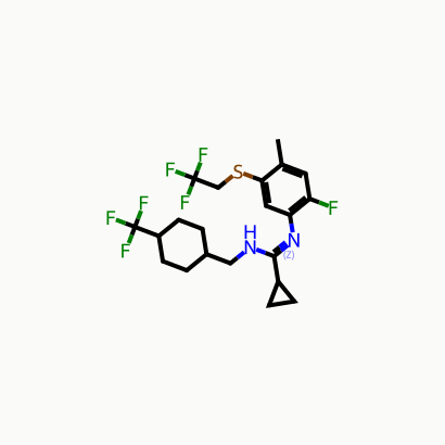 Cc1cc(F)c(/N=C(\NCC2CCC(C(F)(F)F)CC2)C2CC2)cc1SCC(F)(F)F